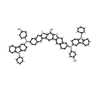 CC(C)c1ccc(N(c2ccc3cc4c(cc3c2)oc2c(C(C)C)c3oc5cc6cc(N(c7ccc(C(C)C)cc7)c7ccc8c(c7)c7ccccc7n8-c7ccccc7)ccc6cc5c3cc24)c2ccc3c(c2)c2ccccc2n3-c2ccccc2)cc1